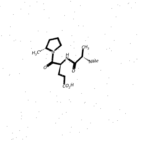 CN[C@@H](C)C(=O)N[C@@H](CCC(=O)O)C(=O)N1CCC[C@H]1C